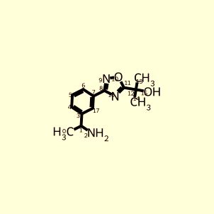 CC(N)c1cccc(-c2noc(C(C)(C)O)n2)c1